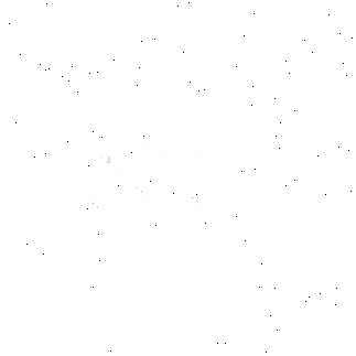 CCOC(=O)C(NC(=N)N)c1nc2ccccc2o1